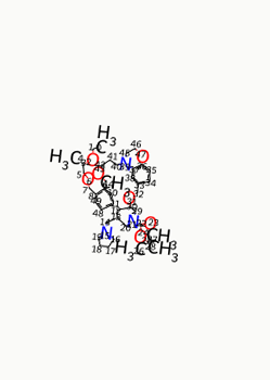 CCOC(C)COCc1ccc([C@H]2[C@H](CN3CCCC3)CN(C(=O)OC(C)(C)C)C[C@@H]2OCc2ccc3c(c2)N(CCCOC)CCO3)cc1